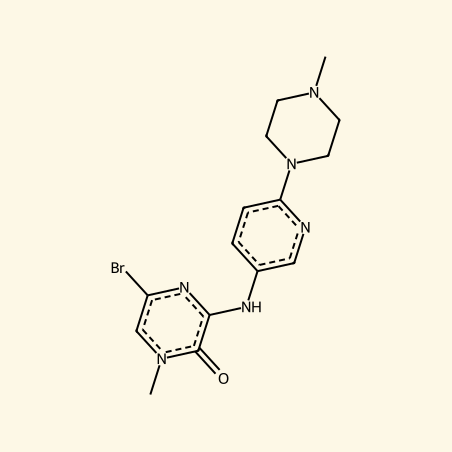 CN1CCN(c2ccc(Nc3nc(Br)cn(C)c3=O)cn2)CC1